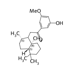 COc1cc(O)cc(C(=O)CC2[C@@H](C)CC[C@H]3C(C)(C)CCC[C@]23C)c1